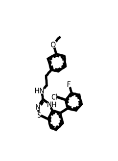 COc1cccc(CCNC2=NSc3cccc(-c4cccc(F)c4Cl)c3N2)c1